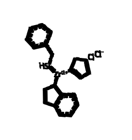 C1=CC[C](/[Zr+2](=[SiH]\Cc2ccccc2)[CH]2C=Cc3ccccc32)=C1.[Cl-].[Cl-]